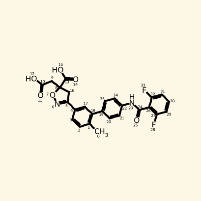 Cc1ccc(C2=NOC(CC(=O)O)(C(=O)O)C2)cc1-c1ccc(NC(=O)c2c(F)cccc2F)cc1